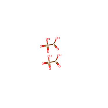 O=S(O)S(=O)(=O)O.O=S(O)S(=O)(=O)O